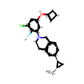 O=C(O)[C@H]1C[C@@H]1c1ccc2c(c1)CCN(c1cc(OC3CCC3)cc(Cl)c1F)C2